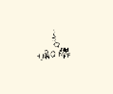 CCCCOc1ccc(-c2[nH]c(C(F)(F)F)nc2-c2ccc(S(N)(=O)=O)cc2)cc1